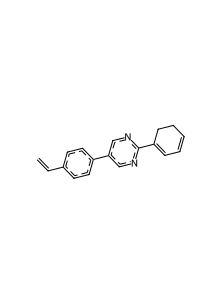 C=Cc1ccc(-c2cnc(C3=CC=CCC3)nc2)cc1